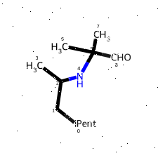 CCCC(C)CC(C)NC(C)(C)C=O